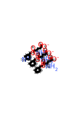 N[C@@H](CCC(=O)[O-])C(=O)OCc1ccccc1.N[C@@H](CCC(=O)[O-])C(=O)OCc1ccccc1.N[C@@H](CCC(=O)[O-])C(=O)OCc1ccccc1.[N+3]